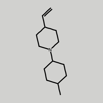 C=CC1CCN(C2CCC(C)CC2)CC1